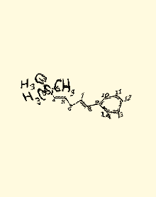 C[Si](C)(C)C=CCC=Cc1ccccc1